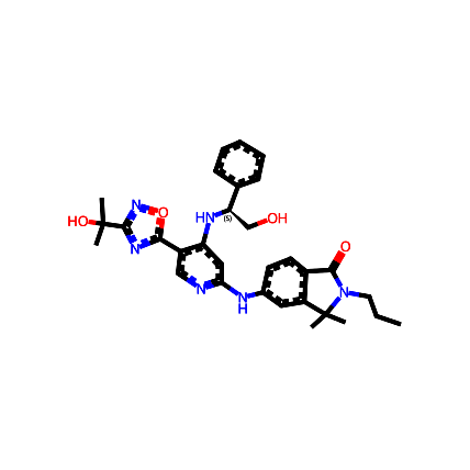 CCCN1C(=O)c2ccc(Nc3cc(N[C@H](CO)c4ccccc4)c(-c4nc(C(C)(C)O)no4)cn3)cc2C1(C)C